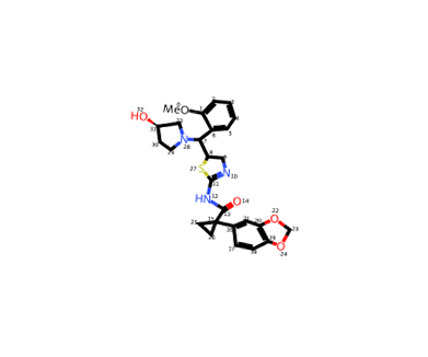 COc1ccccc1C(C1CN=C(NC(=O)C2(c3ccc4c(c3)OCO4)CC2)S1)N1CC[C@@H](O)C1